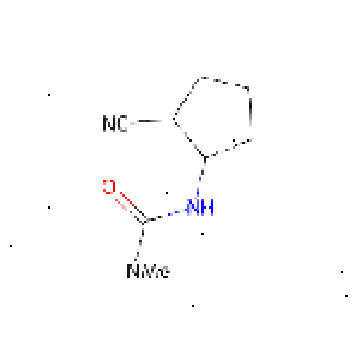 CNC(=O)NC1CCCC1C#N